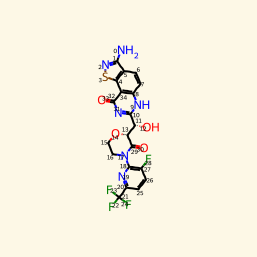 Nc1nsc2c1ccc1[nH]c([C@H](O)[C@H]3OCCN(c4nc(C(F)(F)F)ccc4F)C3=O)nc(=O)c12